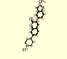 CCN1CCC(c2ccc3cc(-c4ccc5nn(C)cc5c4)c(=O)oc3c2)CC1